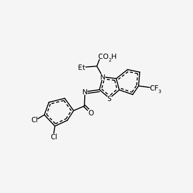 CCC(C(=O)O)n1/c(=N/C(=O)c2ccc(Cl)c(Cl)c2)sc2cc(C(F)(F)F)ccc21